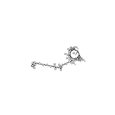 COc1cc2cc(c1Cl)N(C)C(=O)C[C@H](OC(=O)[C@H](C)OCCOCCSC1CC(=O)N(CCC(=O)NCCOCCOCCOCCOCCC(=O)ON3C(=O)CCC3=O)C1=O)[C@]1(C)O[C@H]1[C@H](C)C1C[C@@](O)(NC(=O)O1)[C@H](OC)/C=C/C=C(\C)C2